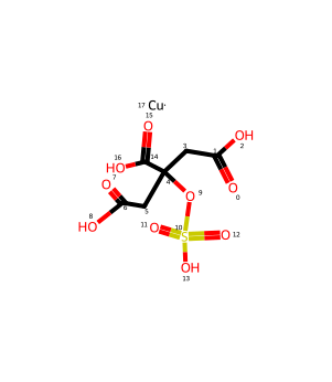 O=C(O)CC(CC(=O)O)(OS(=O)(=O)O)C(=O)O.[Cu]